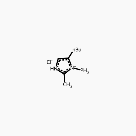 CCCCc1c[nH]c(C)[n+]1P.[Cl-]